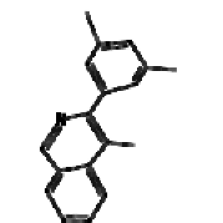 Cc1cc(C)cc(-c2ncc3ccccc3c2C)c1